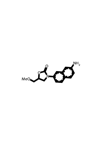 COCC1CN(c2ccc3ccc(N)cc3c2)C(=O)O1